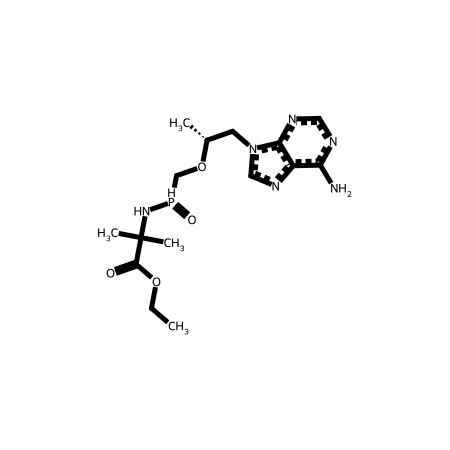 CCOC(=O)C(C)(C)N[PH](=O)CO[C@H](C)Cn1cnc2c(N)ncnc21